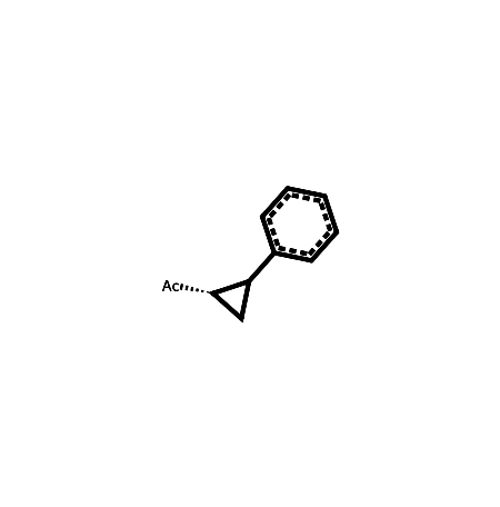 CC(=O)[C@H]1CC1c1ccccc1